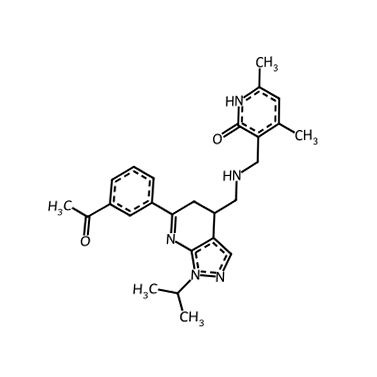 CC(=O)c1cccc(C2=Nc3c(cnn3C(C)C)C(CNCc3c(C)cc(C)[nH]c3=O)C2)c1